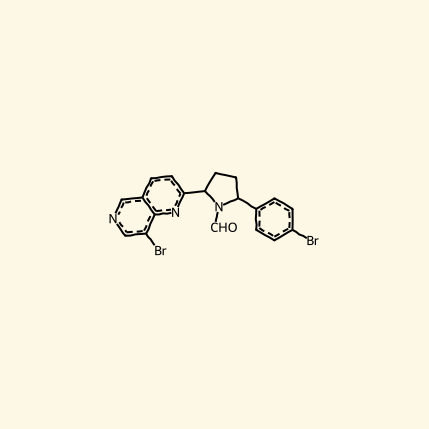 O=CN1C(c2ccc(Br)cc2)CCC1c1ccc2cncc(Br)c2n1